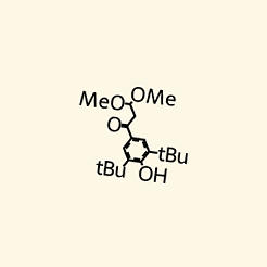 COC(CC(=O)c1cc(C(C)(C)C)c(O)c(C(C)(C)C)c1)OC